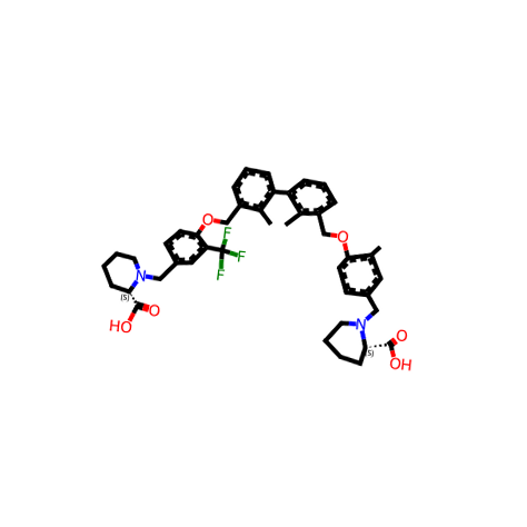 Cc1cc(CN2CCCC[C@H]2C(=O)O)ccc1OCc1cccc(-c2cccc(COc3ccc(CN4CCCC[C@H]4C(=O)O)cc3C(F)(F)F)c2C)c1C